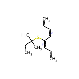 C=C/C=C\C(=C/C=C)SC(C)(C)CC